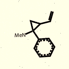 C=CC1CC1(NC)c1ccccc1